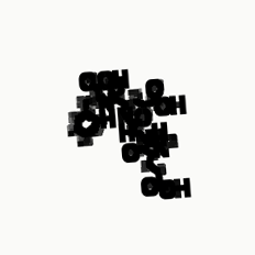 N[C@@H](CCC(=O)O)C(=O)NCC(=O)N[C@@H](CCC(=O)O)C(=O)N[C@@H](Cc1ccccc1)C(=O)O